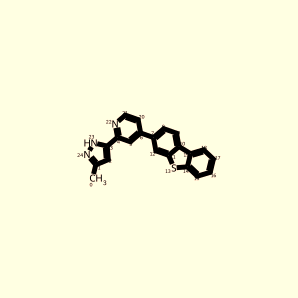 Cc1cc(-c2cc(-c3ccc4c(c3)sc3ccccc34)ccn2)[nH]n1